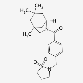 CC1(C)C[C@@H]2CC(C)(CN2C(=O)c2ccc(CN3CCCS3(=O)=O)cc2)C1